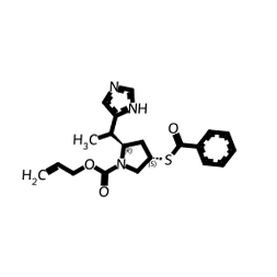 C=CCOC(=O)N1C[C@@H](SC(=O)c2ccccc2)C[C@@H]1C(C)c1cnc[nH]1